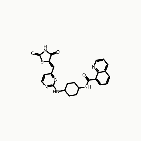 O=C1NC(=O)/C(=C/c2ccnc(NC3CCC(NC(=O)c4cccc5cccnc45)CC3)n2)S1